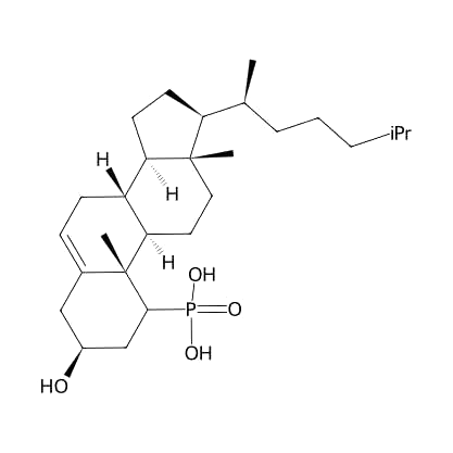 CC(C)CCC[C@H](C)[C@@H]1CC[C@@H]2[C@H]3CC=C4C[C@H](O)CC(P(=O)(O)O)[C@@]4(C)[C@@H]3CC[C@]21C